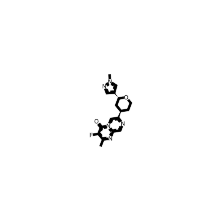 Cc1nc2cnc([C@@H]3CCO[C@@H](c4cnn(C)c4)C3)cn2c(=O)c1F